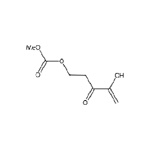 C=C(O)C(=O)CCOC(=O)OC